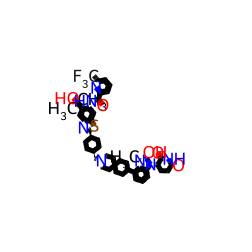 CN1c2c(C3CCC4(CC3)CCN(C[C@H]3CC[C@H](c5nc6cc(C(C)(C)O)c(NC(=O)c7cccc(C(F)(F)F)n7)cc6s5)CC3)CC4)cccc2N(C2CCC(=O)NC2=O)C1O